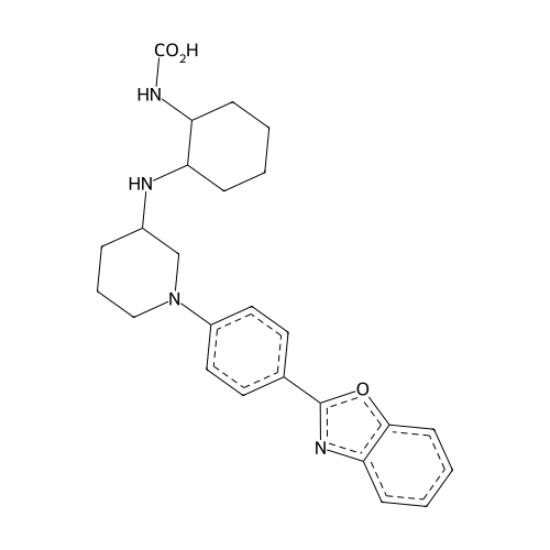 O=C(O)NC1CCCCC1NC1CCCN(c2ccc(-c3nc4ccccc4o3)cc2)C1